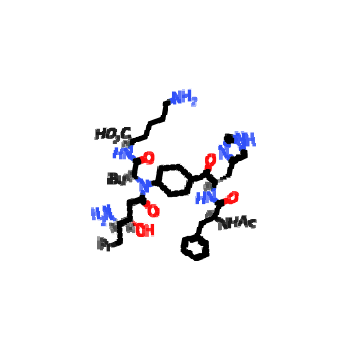 CC[C@H](C)[C@@H](C(=O)N[C@@H](CCCCN)C(=O)O)N(C(=O)C[C@H](O)[C@@H](N)CC(C)C)C1CCC(C(=O)[C@H](Cc2c[nH]cn2)NC(=O)[C@H](Cc2ccccc2)NC(C)=O)CC1